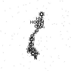 CC(C)(C)[C@@H](C(=O)N1C[C@H](O)C[C@H]1C(=O)NCc1ccccc1)N(C=O)CCOCCCCOc1ccc(-c2ccc(N3C(=S)N(c4ccc(C#N)c(C(F)(F)F)c4F)C(=O)C3(C)C)cn2)cn1